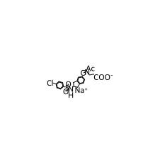 CC(=O)N(CCC(=O)[O-])Oc1ccc2c(c1)CC(NS(=O)(=O)c1ccc(Cl)cc1)C2.[Na+]